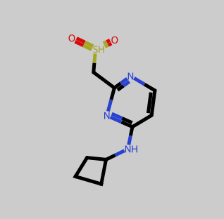 O=[SH](=O)Cc1nccc(NC2CCC2)n1